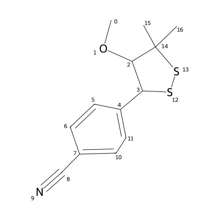 COC1C(c2ccc(C#N)cc2)SSC1(C)C